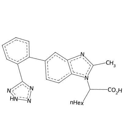 CCCCCCC(C(=O)O)n1c(C)nc2cc(-c3ccccc3-c3nn[nH]n3)ccc21